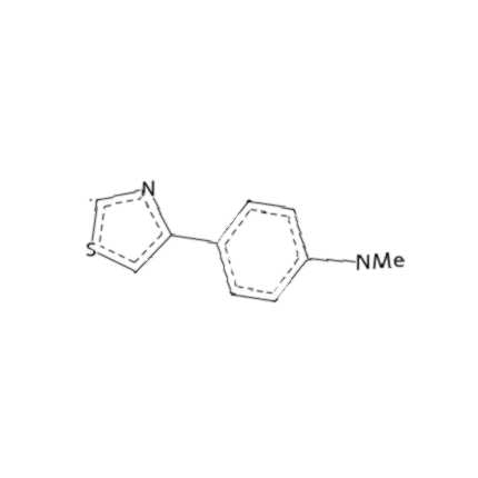 CNc1ccc(-c2cs[c]n2)cc1